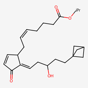 CC(C)OC(=O)CCC/C=C\CC1C=CC(=O)/C1=C/CC(O)CCC12CC(C1)C2